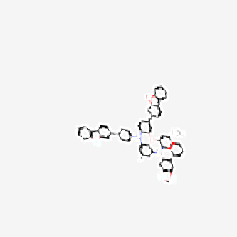 Cc1cc2c3c(c1)N(c1cc4c(cc1-c1ccccc1)OCO4)c1ccc(C(C)(C)C)cc1B3c1cc(-c3ccc4c(c3)oc3ccccc34)ccc1N2c1ccc(-c2ccc3c(c2)oc2ccccc23)cc1